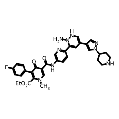 CCOC(=O)c1c(-c2ccc(F)cc2)c(=O)c(C(=O)Nc2ccc(C3=CC(c4cnn(C5CCNCC5)c4)=CNN3N)nc2)cn1C